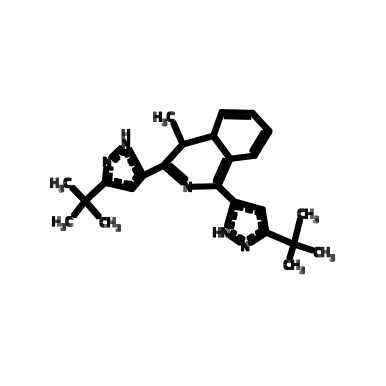 CC1C(c2cc(C(C)(C)C)n[nH]2)=NC(c2cc(C(C)(C)C)n[nH]2)=C2C=CC=CC21